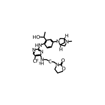 CC(O)c1cc(N2C[C@H]3C[C@@H]2CN3C)ccc1Nc1ncc(C(F)(F)F)c(NCCCN2CCCOC2=O)n1